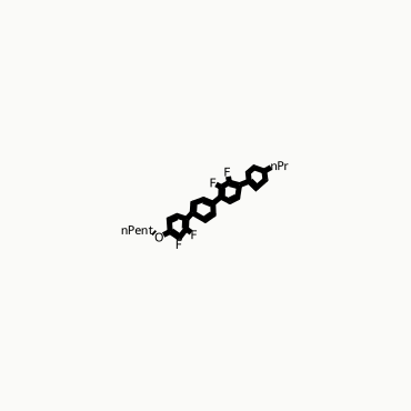 CCCCCOc1ccc(-c2ccc(-c3ccc(C4=CCC(CCC)CC4)c(F)c3F)cc2)c(F)c1F